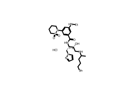 CCNc1cc(C(=O)N[C@@H](Cn2cccn2)[C@H](O)CNC(C)CCCC(C)C)cc(N2CCCCS2(=O)=O)c1.Cl